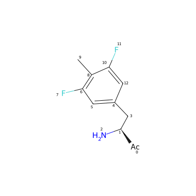 CC(=O)[C@@H](N)Cc1cc(F)c(C)c(F)c1